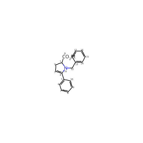 CCOC(=O)C1CC=C(c2ccccc2)N1Cc1ccccc1